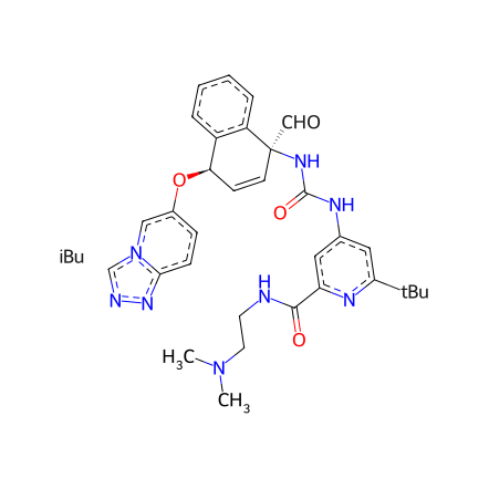 CC[C@H](C)c1nnc2ccc(O[C@@H]3C=C[C@](C=O)(NC(=O)Nc4cc(C(=O)NCCN(C)C)nc(C(C)(C)C)c4)c4ccccc43)cn12